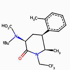 Cc1ccccc1[C@@H]1C[C@H](N(C(=O)O)C(C)(C)C)C(=O)N(CC(F)(F)F)[C@@H]1C